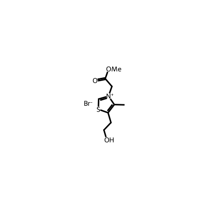 COC(=O)C[n+]1csc(CCO)c1C.[Br-]